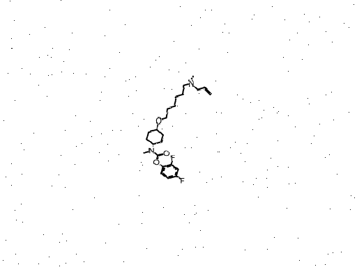 C=CCN(C)CCCCCCO[C@H]1CC[C@H](N(C)C(=O)Oc2ccc(F)cc2F)CC1